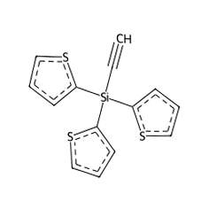 C#C[Si](c1cccs1)(c1cccs1)c1cccs1